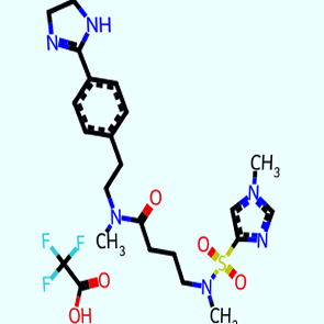 CN(CCc1ccc(C2=NCCN2)cc1)C(=O)CCCN(C)S(=O)(=O)c1cn(C)cn1.O=C(O)C(F)(F)F